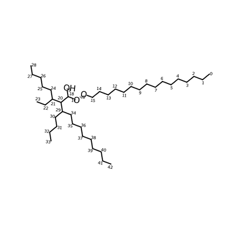 CCCCCCCCCCCCCCCCOOC(O)C(C(CC)CCCCC)C(CCCC)CCCCCCCCC